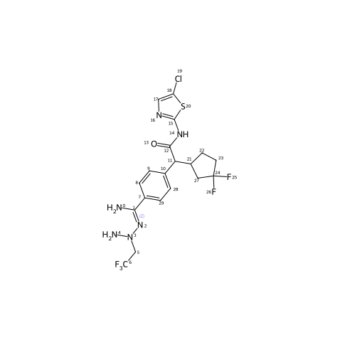 N/C(=N\N(N)CC(F)(F)F)c1ccc(C(C(=O)Nc2ncc(Cl)s2)C2CCC(F)(F)C2)cc1